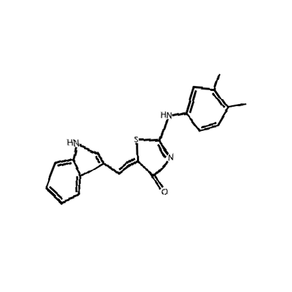 Cc1ccc(NC2=NC(=O)C(=Cc3c[nH]c4ccccc34)S2)cc1C